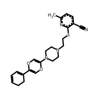 Cc1ccc(C#N)c(SCCN2CCN(C3=COC(C4=CC=CCC4)=CO3)CC2)n1